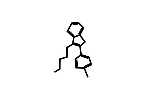 CCCCCC1=C(c2ccc(C)cc2)[CH]c2ccccc21